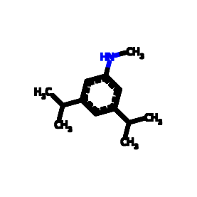 CNc1cc(C(C)C)cc(C(C)C)c1